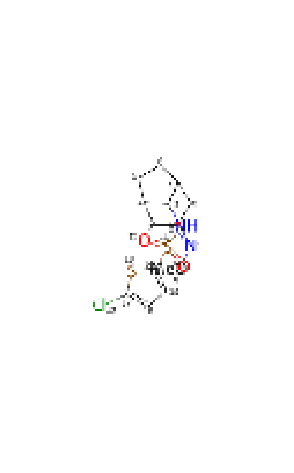 CON=C1CC2CCC(C1)C2NS(=O)(=O)c1ccc(Cl)s1